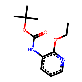 CCOc1ncccc1NC(=O)OC(C)(C)C